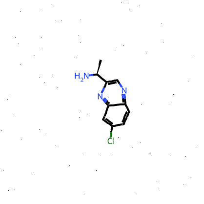 C[C@H](N)c1cnc2ccc(Cl)cc2n1